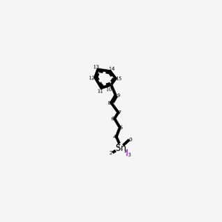 [CH3][Sn]([CH3])([I])[CH2]CCCC=Cc1ccccc1